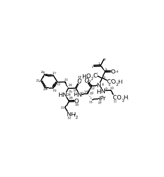 C=C(C)C(=O)C(C(=O)O)(C(=O)O)N(NCC(=O)O)C(=O)[C@H](CC(C)C)NC(=O)[C@H](Cc1ccccc1)NC(=O)CN